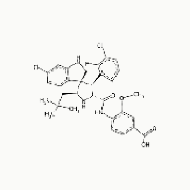 COc1cc(C(=O)O)ccc1NC(=O)[C@@H]1N[C@@H](CC(C)(C)C)[C@@]2(CNc3cc(Cl)ccc32)[C@H]1c1cccc(Cl)c1F